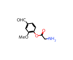 COc1cc(C=O)ccc1OC(=O)CN